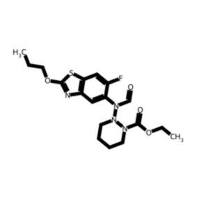 CCCOc1nc2cc(N(C=O)N3CCCCN3C(=O)OCC)c(F)cc2s1